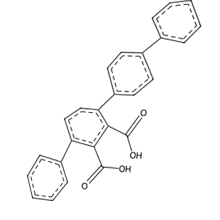 O=C(O)c1c(-c2ccccc2)ccc(-c2ccc(-c3ccccc3)cc2)c1C(=O)O